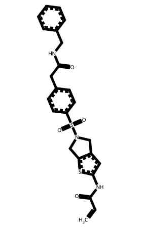 C=CC(=O)Nc1cc2c(s1)CN(S(=O)(=O)c1ccc(CC(=O)NCc3ccccc3)cc1)C2